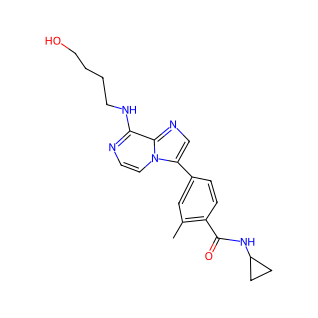 Cc1cc(-c2cnc3c(NCCCCO)nccn23)ccc1C(=O)NC1CC1